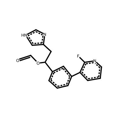 O=COC(Cc1c[nH]cn1)c1cccc(-c2cccnc2F)c1